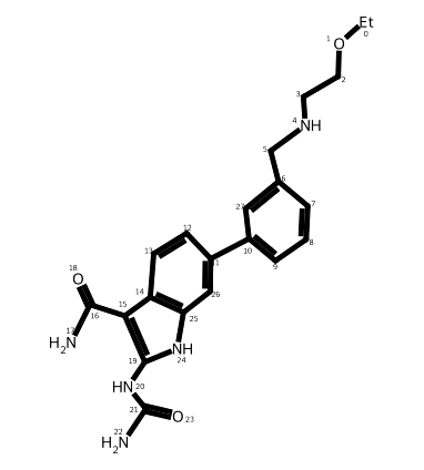 CCOCCNCc1cccc(-c2ccc3c(C(N)=O)c(NC(N)=O)[nH]c3c2)c1